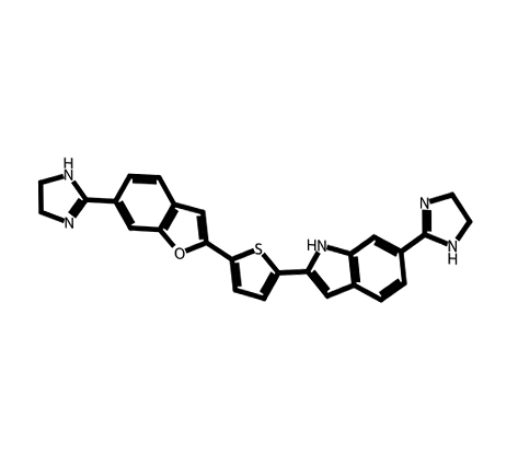 c1cc2cc(-c3ccc(-c4cc5ccc(C6=NCCN6)cc5o4)s3)[nH]c2cc1C1=NCCN1